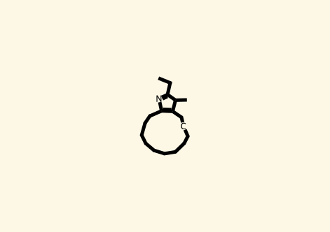 CCC1=NC2=C(CCCCCCCCCCC2)C1C